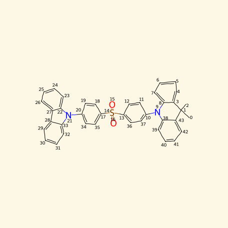 CC1(C)c2ccccc2N(c2ccc(S(=O)(=O)c3ccc(-n4c5ccccc5c5ccccc54)cc3)cc2)c2ccccc21